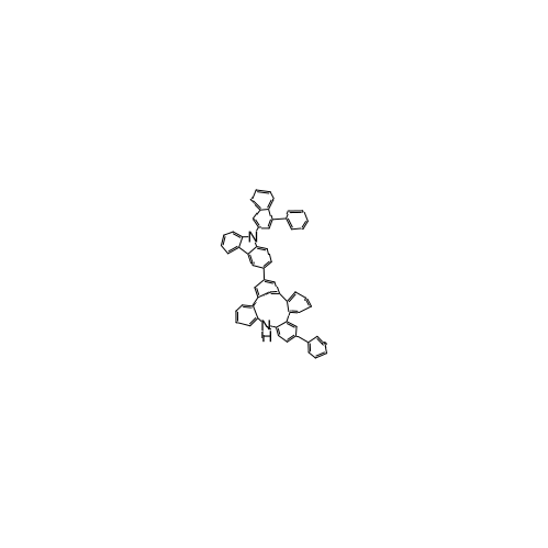 c1ccc(-c2ccc3c(c2)-c2ccccc2-c2cc(-c4ccc5c(c4)c4ccccc4n5-c4cc(-c5ccccc5)c5ccccc5c4)cc(c2)-c2ccccc2N3)cc1